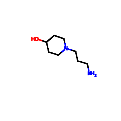 NCCCN1CCC(O)CC1